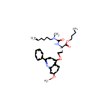 C=CCCCCN(C)C(=O)N[C@@H](CCOc1cc(-c2ccccc2)nc2cc(OC)ccc12)C(=O)OCCCC